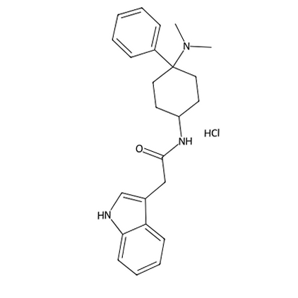 CN(C)C1(c2ccccc2)CCC(NC(=O)Cc2c[nH]c3ccccc23)CC1.Cl